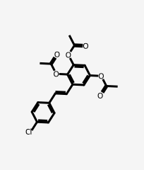 CC(=O)Oc1cc(C=Cc2ccc(Cl)cc2)c(OC(C)=O)c(OC(C)=O)c1